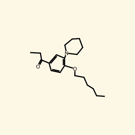 CCCCCCOc1ccc(C(=O)CC)cc1N1CCCCC1